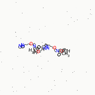 CC(C)O[C@@H](C)c1ccccc1C(C(=O)O)N1CC[C@@H](OCCCCc2ccc3c(n2)NCC(c2ccc([C@H](C(=O)O)N4CC[C@@H](OCCCCc5ccc6c(n5)NCCC6)C4)c([C@@H](C)OC(C)C)c2)C3)C1